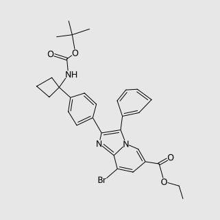 CCOC(=O)c1cc(Br)c2nc(-c3ccc(C4(NC(=O)OC(C)(C)C)CCC4)cc3)c(-c3ccccc3)n2c1